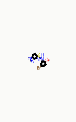 COc1ccc(Br)cc1Nc1nc2c(ccc3c2ncn3C)s1